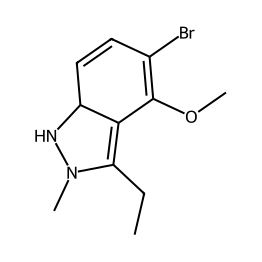 CCC1=C2C(OC)=C(Br)C=CC2NN1C